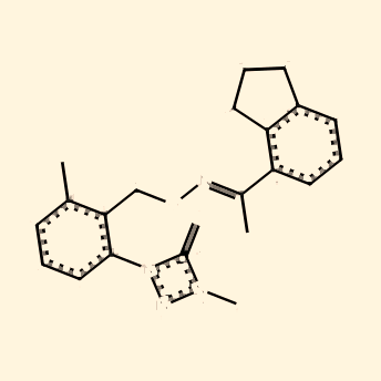 CC(=NOCc1c(C)cccc1-n1[nH]n(C)c1=O)c1cccc2c1CCC2